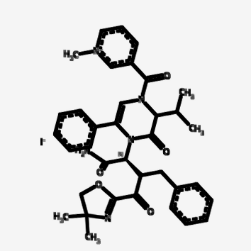 CC(C)C1C(=O)N([C@H](C(N)=O)C(Cc2ccccc2)C(=O)C2=NC(C)(C)CO2)C(c2ccccc2)=CN1C(=O)c1ccc[n+](C)c1.[I-]